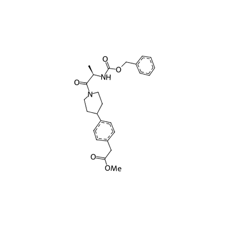 COC(=O)Cc1ccc(C2CCN(C(=O)[C@@H](C)NC(=O)OCc3ccccc3)CC2)cc1